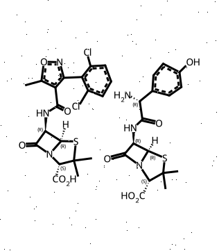 CC1(C)S[C@@H]2[C@H](NC(=O)[C@H](N)c3ccc(O)cc3)C(=O)N2[C@H]1C(=O)O.Cc1onc(-c2c(Cl)cccc2Cl)c1C(=O)N[C@@H]1C(=O)N2[C@@H]1SC(C)(C)[C@@H]2C(=O)O